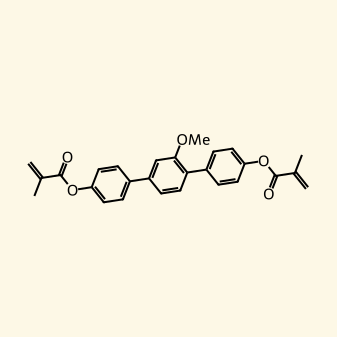 C=C(C)C(=O)Oc1ccc(-c2ccc(-c3ccc(OC(=O)C(=C)C)cc3)c(OC)c2)cc1